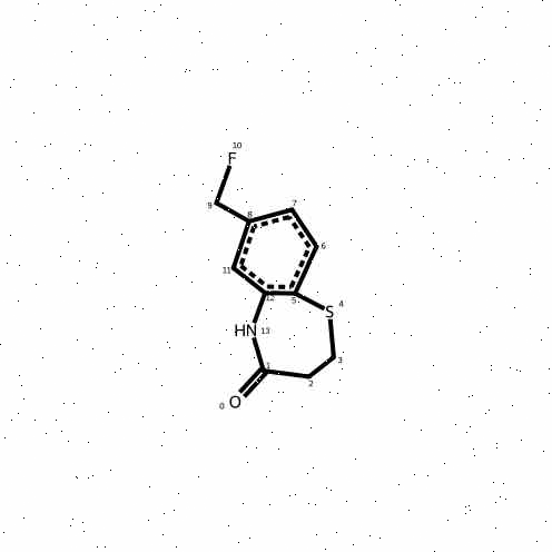 O=C1CCSc2ccc(CF)cc2N1